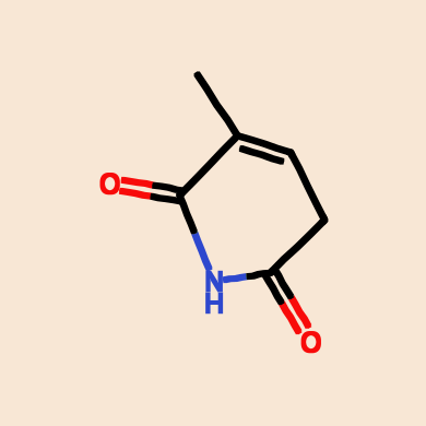 CC1=CCC(=O)NC1=O